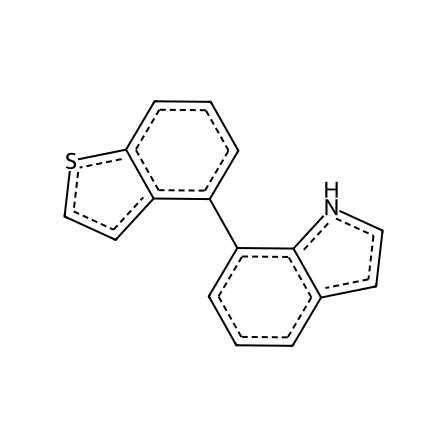 c1cc(-c2cccc3sccc23)c2[nH]ccc2c1